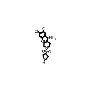 N[C@@H](c1cc(Cl)c(Cl)cc1O)C1CCN(S(=O)(=O)[C@@H]2CCNC2)CC1